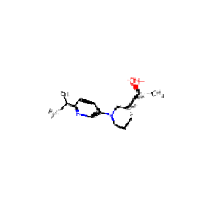 CC(C)c1ccc(N2CCC[C@@H]([C@@H](C)O)C2)cn1